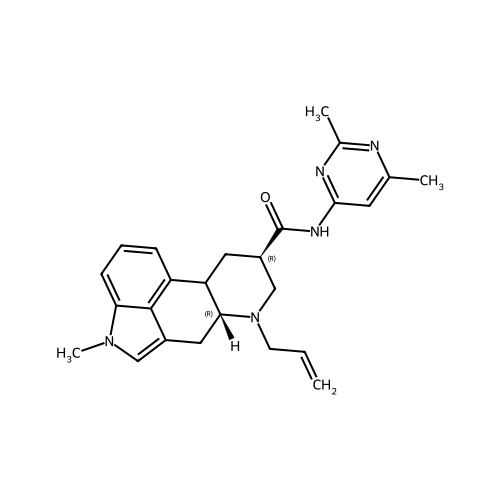 C=CCN1C[C@H](C(=O)Nc2cc(C)nc(C)n2)CC2c3cccc4c3c(cn4C)C[C@H]21